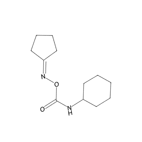 O=C(NC1CCCCC1)ON=C1CCCC1